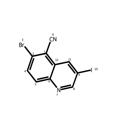 N#Cc1c(Br)ccc2ncc(I)cc12